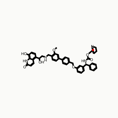 COc1cc(-c2ccc(COc3cccc([C@@H](NC(=O)OC4CN5CCC4CC5)c4ccccc4)c3)cc2)ccc1CNCC(O)c1ccc(O)c2[nH]c(=O)ccc12